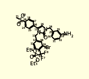 CCOP(=O)(OCC)C(F)(F)c1ccc(Cn2c(-c3ccc(S(C)(=O)=O)cc3)cn(Cc3cccc(N)c3)c2=O)cc1Br